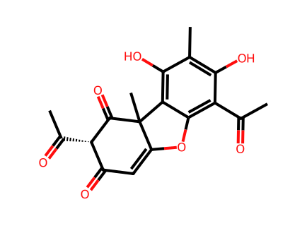 CC(=O)c1c(O)c(C)c(O)c2c1OC1=CC(=O)[C@H](C(C)=O)C(=O)C12C